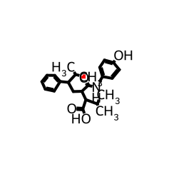 CC(C)C(CC(C(=O)Nc1ccc(O)cc1)C(C(=O)O)C(C)C)c1ccccc1